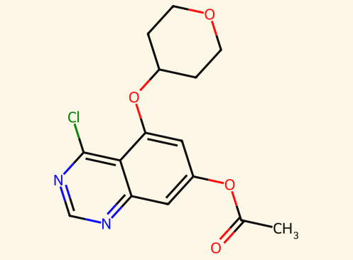 CC(=O)Oc1cc(OC2CCOCC2)c2c(Cl)ncnc2c1